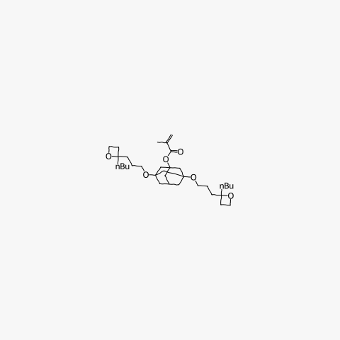 C=C(C)C(=O)OC12CC3CC(OCCCC4(CCCC)CCO4)(CC(OCCCC4(CCCC)CCO4)(C3)C1)C2